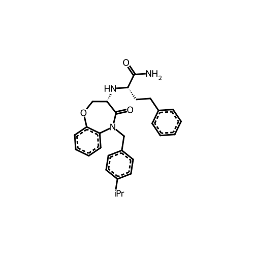 CC(C)c1ccc(CN2C(=O)[C@@H](N[C@@H](CCc3ccccc3)C(N)=O)COc3ccccc32)cc1